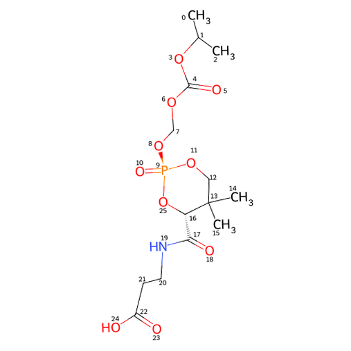 CC(C)OC(=O)OCO[P@@]1(=O)OCC(C)(C)[C@H](C(=O)NCCC(=O)O)O1